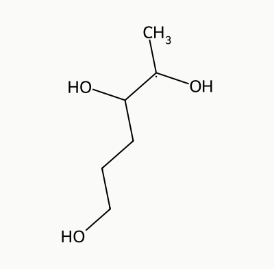 C[C](O)C(O)CCCO